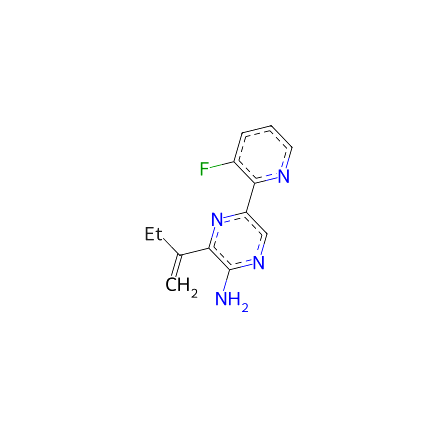 C=C(CC)c1nc(-c2ncccc2F)cnc1N